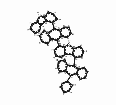 c1ccc(-c2c3ccccc3c(-c3cccc4sc5c(-c6c7ccccc7c(-c7cccc8oc9ccccc9c78)c7ccccc67)cccc5c34)c3ccccc23)cc1